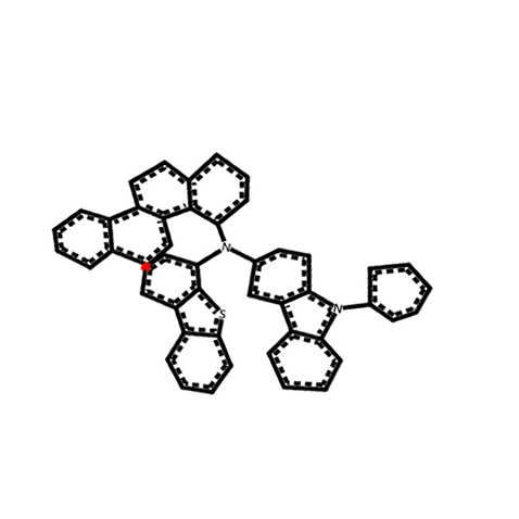 c1ccc(-n2c3ccccc3c3cc(N(c4cccc5c4sc4ccccc45)c4cccc5ccc6c7ccccc7ccc6c45)ccc32)cc1